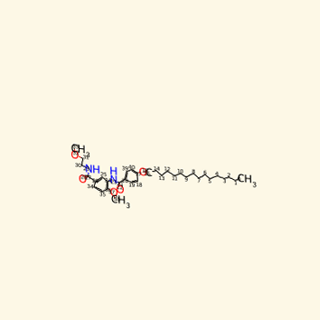 CCCCCCCCCCCCCCCCOc1ccc(C(=O)Nc2cc(C(=O)NCCOC)ccc2OC)cc1